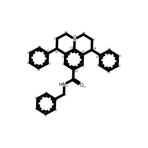 O=C(NCc1ccccc1)c1cc2c3c(c1)C(c1ccccc1)CCN3CCC2c1ccccc1